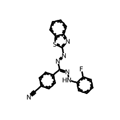 N#Cc1ccc(C(N=Nc2nc3ccccc3s2)=NNc2ccccc2F)cc1